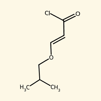 CC(C)COC=CC(=O)Cl